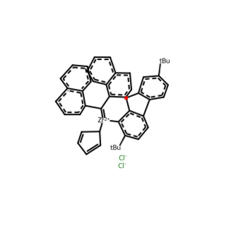 CC(C)(C)c1ccc2c(c1)Cc1c-2ccc(C(C)(C)C)[c]1[Zr+2](=[C](c1cccc2ccccc12)c1cccc2ccccc12)[CH]1C=CC=C1.[Cl-].[Cl-]